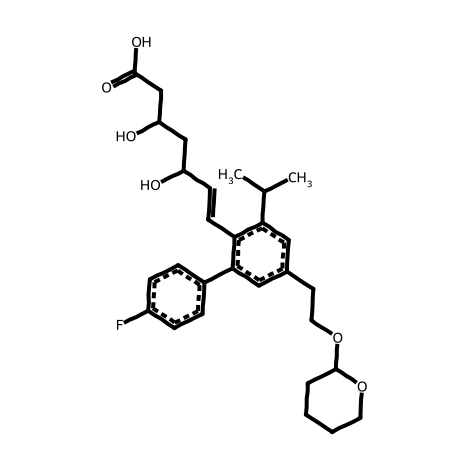 CC(C)c1cc(CCOC2CCCCO2)cc(-c2ccc(F)cc2)c1C=CC(O)CC(O)CC(=O)O